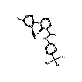 CC(C)(O)c1ccc(NC(=O)c2cccn(-c3ccc(F)cc3C#N)c2=O)cc1